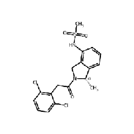 C[C@H]1c2cccc(NS(C)(=O)=O)c2CN1C(=O)Cc1c(Cl)cccc1Cl